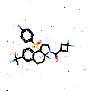 O=C(C1CC(F)(I)C1)N1CC[C@@]2(S(=O)(=O)c3ccc(I)cc3)c3ccc(C(F)(C(F)(F)F)C(F)(F)F)cc3CC[C@@H]12